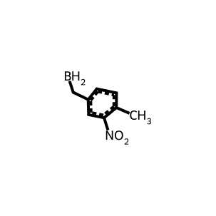 BCc1ccc(C)c([N+](=O)[O-])c1